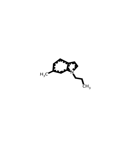 CCCn1ccc2ccc(C)cc21